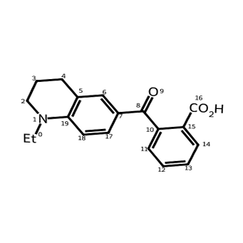 CCN1CCCc2cc(C(=O)c3ccccc3C(=O)O)ccc21